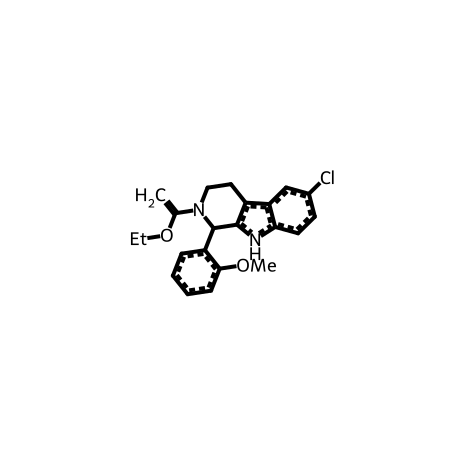 C=C(OCC)N1CCc2c([nH]c3ccc(Cl)cc23)C1c1ccccc1OC